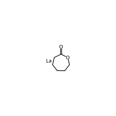 O=C1CCCCCO1.[La]